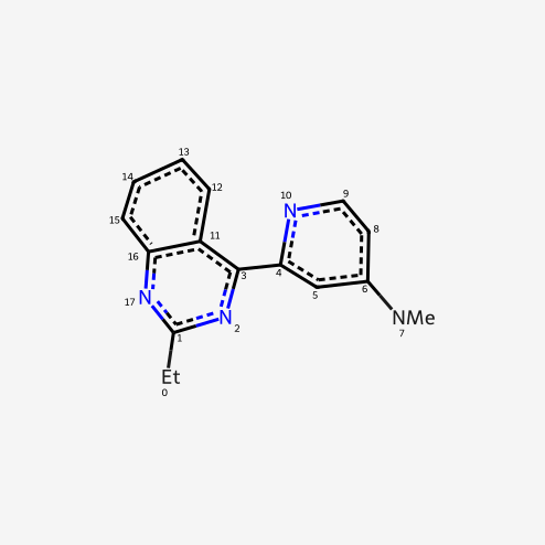 CCc1nc(-c2cc(NC)ccn2)c2ccccc2n1